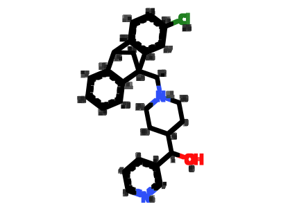 OC(c1cccnc1)C1CCN(CC23CC(c4ccccc42)c2ccc(Cl)cc23)CC1